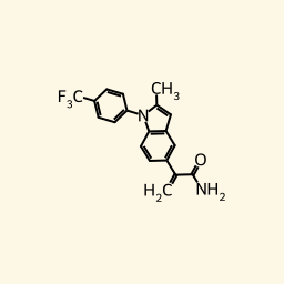 C=C(C(N)=O)c1ccc2c(c1)cc(C)n2-c1ccc(C(F)(F)F)cc1